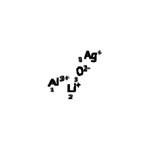 [Ag+].[Al+3].[Li+].[O-2]